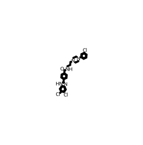 O=C(NCCCN1CCN(c2cccc(Cl)c2)CC1)c1ccc(-c2nc3cc(Cl)c(Cl)cc3[nH]2)cc1